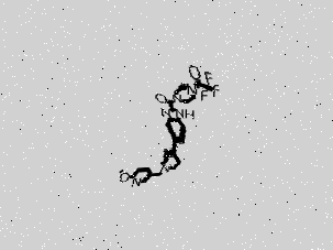 COc1ccc(CN2CCC(c3ccc4[nH]c(C(=O)N5CCN(C(=O)C(F)(F)F)CC5)nc4c3)CC2)cn1